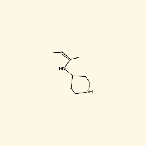 C/C=C(/C)NC1CCNCC1